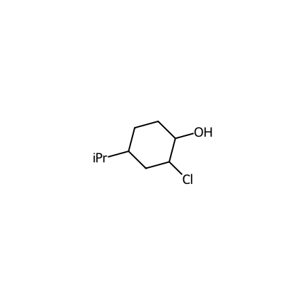 CC(C)C1CCC(O)C(Cl)C1